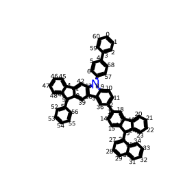 c1ccc(-c2ccc(-n3c4ccc(-c5ccc6c(c5)-c5ccccc5C6c5cccc6ccccc56)cc4c4cc5c(cc43)-c3ccccc3C5c3ccccc3)cc2)cc1